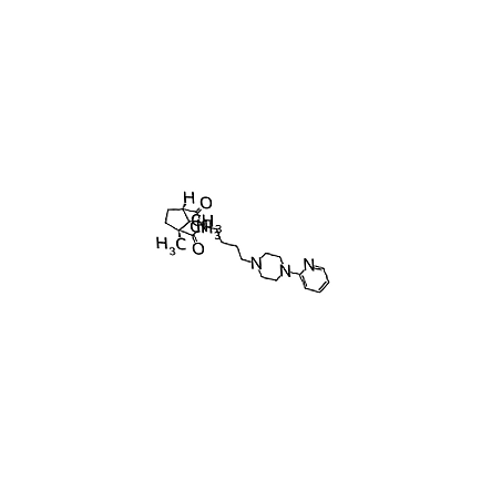 CC1(C)[C@@H]2CC[C@@]1(C)C(=O)N(CCCCN1CCN(c3ccccn3)CC1)C2=O